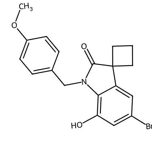 COc1ccc(CN2C(=O)C3(CCC3)c3cc(Br)cc(O)c32)cc1